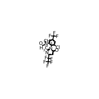 C[N+](C)(C=O)c1cc(C(F)(F)F)cc(Cl)c1-n1cnc(C(F)(F)C(F)(F)F)cc1=O